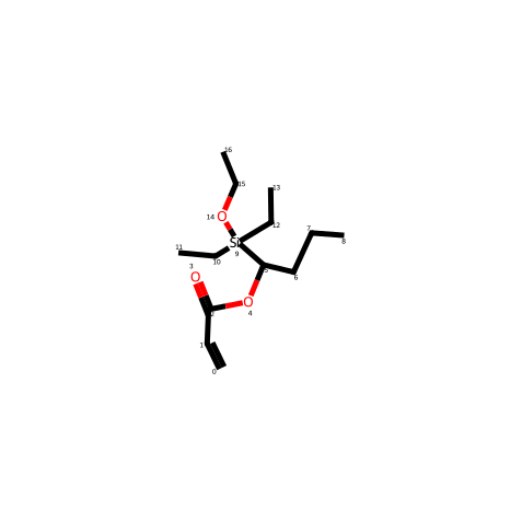 C=CC(=O)OC(CCC)[Si](CC)(CC)OCC